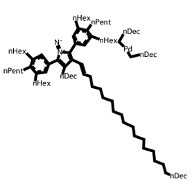 CCCCCCCCCCCCCCCCCCCCCCCCCCC=CC1=C(c2cc(CCCCCC)c(CCCCC)c(CCCCCC)c2)[N+](=[N-])C(c2cc(CCCCCC)c(CCCCC)c(CCCCCC)c2)=C1CCCCCCCCCC.CCCCCCCCCC[CH2][Pd][CH2]CCCCCCCCCC